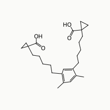 Cc1cc(C)c(CCCCCC2(C(=O)O)CC2)cc1CCCCCC1(C(=O)O)CC1